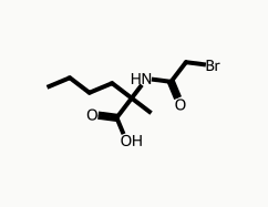 CCCCC(C)(NC(=O)CBr)C(=O)O